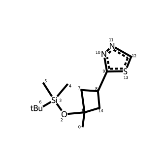 CC1(O[Si](C)(C)C(C)(C)C)CC(c2nncs2)C1